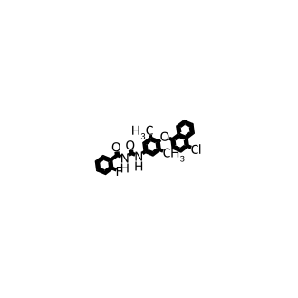 Cc1cc(NC(=O)NC(=O)c2ccccc2F)cc(C)c1Oc1ccc(Cl)c2ccccc12